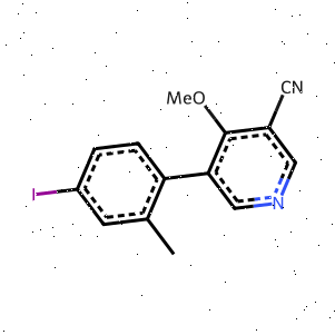 COc1c(C#N)cncc1-c1ccc(I)cc1C